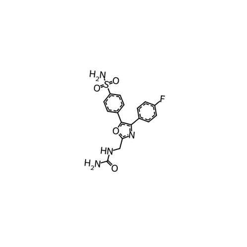 NC(=O)NCc1nc(-c2ccc(F)cc2)c(-c2ccc(S(N)(=O)=O)cc2)o1